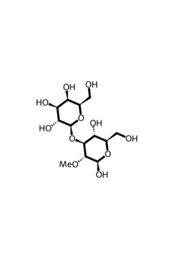 CO[C@@H]1[C@@H](O[C@@H]2O[C@H](CO)[C@H](O)[C@H](O)[C@H]2O)[C@H](O)[C@@H](CO)O[C@H]1O